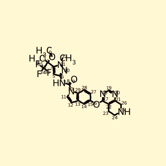 COC(C)(c1cc(NC(=O)n2ccc3cc(Oc4ncnc5c4CCNC5)ccc32)nn1C)C(F)(F)F